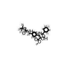 COC(=O)C(O)C(NC(=O)c1ccccc1)c1ccc(CNC(=O)OC(C)(C)C)cc1